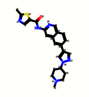 Cc1ncc(C(=O)Nc2cc3cc(-c4cnn(C5CCN(C)CC5)c4)ccc3cn2)s1